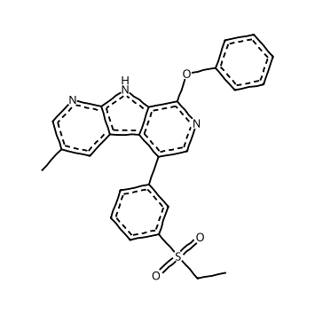 CCS(=O)(=O)c1cccc(-c2cnc(Oc3ccccc3)c3[nH]c4ncc(C)cc4c23)c1